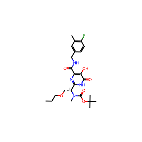 CCCOC[C@H](c1nc(C(=O)NCc2ccc(F)c(C)c2)c(O)c(=O)[nH]1)N(C)C(=O)OC(C)(C)C